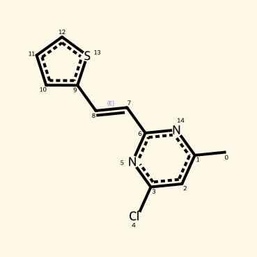 Cc1cc(Cl)nc(/C=C/c2cccs2)n1